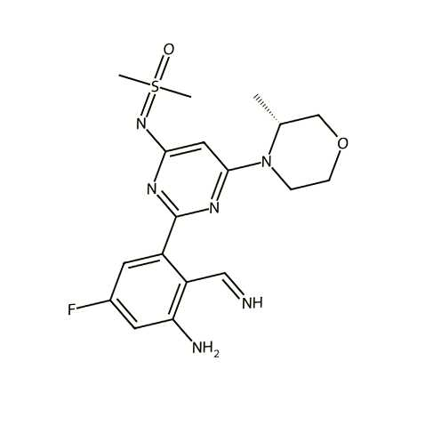 C[C@@H]1COCCN1c1cc(N=S(C)(C)=O)nc(-c2cc(F)cc(N)c2C=N)n1